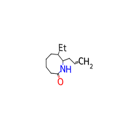 C=CCC1NC(=O)CCCCC1CC